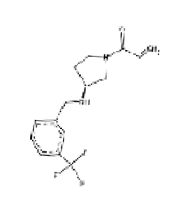 C=CC(=O)N1CC[C@H](NCc2cccc(C(F)(F)F)c2)C1